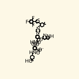 CC1(C)CCC(CN2CCN(c3ccc(C(=O)NS(=O)(=O)c4ccc(NCC5CCC(C)(O)CC5)c([N+](=O)[O-])c4)c(Oc4cnc5[nH]ccc5c4)c3)CC2)=C(c2cc(-c3c(F)cc(F)cc3F)cs2)C1